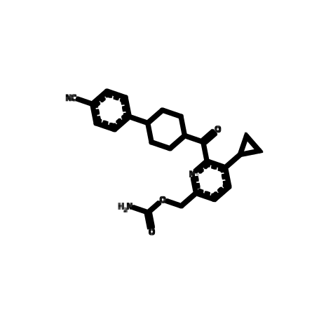 N#Cc1ccc(C2CCC(C(=O)c3nc(COC(N)=O)ccc3C3CC3)CC2)cc1